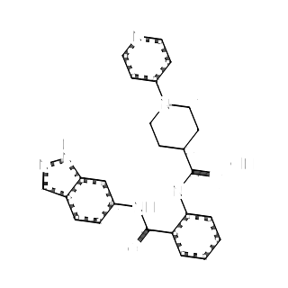 Cl.O=C(Nc1ccc2cn[nH]c2c1)c1ccccc1NC(=O)C1CCN(c2ccncc2)CC1